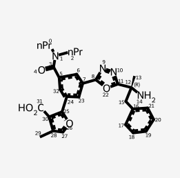 CCCN(CCC)C(=O)c1cc(-c2nnc([C@](C)(N)Cc3ccccc3)o2)cc(-c2occ(C)c2C(=O)O)c1